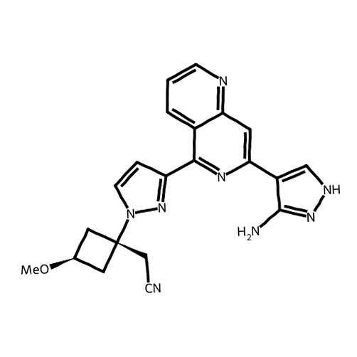 CO[C@H]1C[C@](CC#N)(n2ccc(-c3nc(-c4c[nH]nc4N)cc4ncccc34)n2)C1